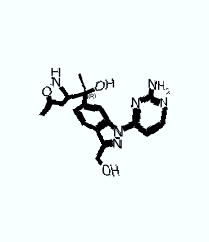 CC1CC([C@](C)(O)c2ccc3c(CO)nn(-c4ccnc(N)n4)c3c2)NO1